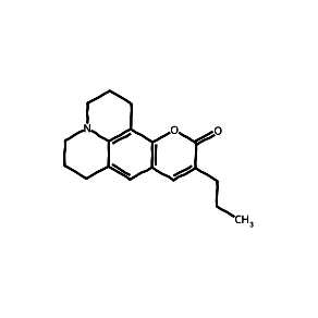 CCCc1cc2cc3c4c(c2oc1=O)CCCN4CCC3